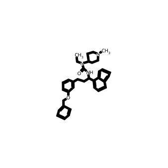 CCN(C(=O)NC(CCc1cccc(OCc2ccccc2)c1)c1cccc2ccccc12)C1CCN(C)CC1